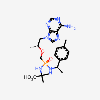 Cc1ccc([C@@H](C)N[P@](=O)(CO[C@H](C)Cn2cnc3c(N)ncnc32)NC(C)(C)C(=O)O)cc1